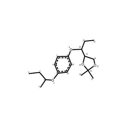 CCC(C)Oc1ccc(OC(CC)C2COC(C)(C)O2)cc1